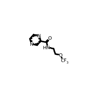 O=C(NCCOC(F)(F)F)c1cnccn1